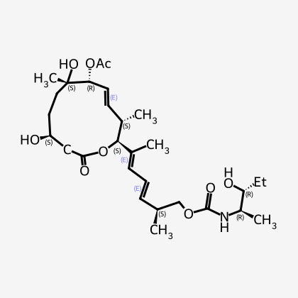 CC[C@@H](O)[C@@H](C)NC(=O)OC[C@@H](C)/C=C/C=C(\C)[C@H]1OC(=O)C[C@@H](O)CC[C@](C)(O)[C@H](OC(C)=O)/C=C/[C@@H]1C